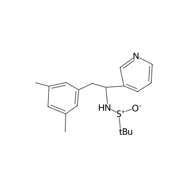 Cc1cc(C)cc(CC(N[S+]([O-])C(C)(C)C)c2cccnc2)c1